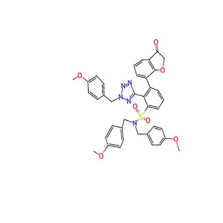 COc1ccc(CN(Cc2ccc(OC)cc2)S(=O)(=O)c2cccc(-c3cccc4c3OCC4=O)c2-c2nnn(Cc3ccc(OC)cc3)n2)cc1